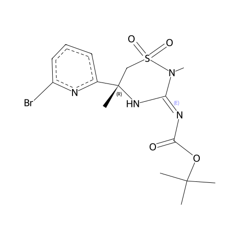 CN1/C(=N/C(=O)OC(C)(C)C)N[C@](C)(c2cccc(Br)n2)CS1(=O)=O